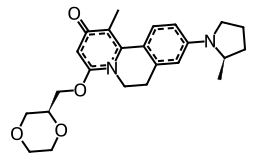 Cc1c2n(c(OC[C@@H]3COCCO3)cc1=O)CCc1cc(N3CCC[C@H]3C)ccc1-2